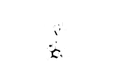 Cn1cc(Br)c2ncn(COCC[Si](C)(C)C)c2c1=O